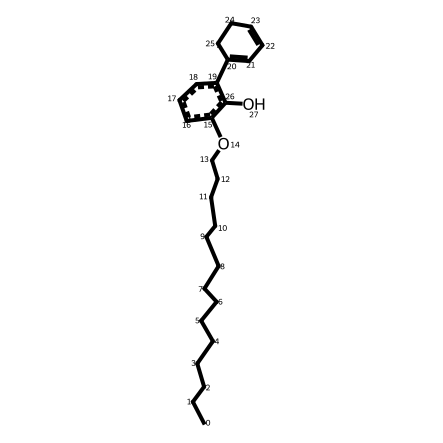 CCCCCCCCCCCCCCOc1cccc(C2=CC=CC[CH]2)c1O